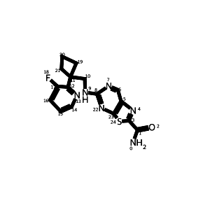 NC(=O)c1nc2cnc(NCC3(c4ncccc4F)CCC3)nc2s1